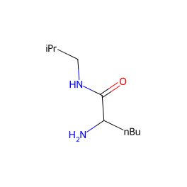 CCCCC(N)C(=O)NCC(C)C